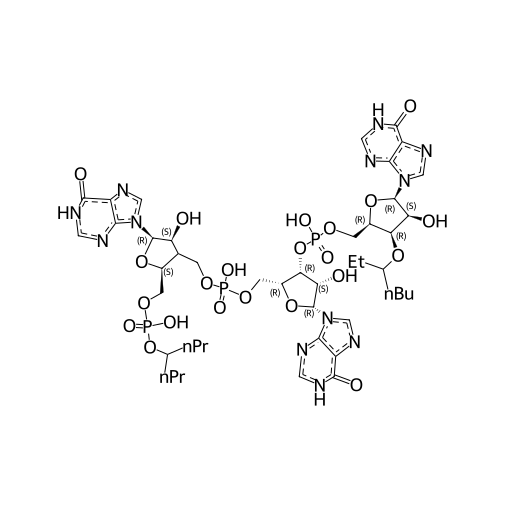 CCCCC(CC)O[C@@H]1[C@H](O)[C@H](n2cnc3c(=O)[nH]cnc32)O[C@@H]1COP(=O)(O)O[C@@H]1[C@H](O)[C@H](n2cnc3c(=O)[nH]cnc32)O[C@@H]1COP(=O)(O)OCC1[C@@H](COP(=O)(O)OC(CCC)CCC)O[C@@H](n2cnc3c(=O)[nH]cnc32)[C@H]1O